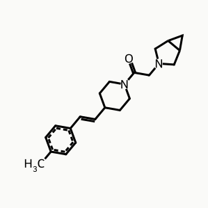 Cc1ccc(/C=C/C2CCN(C(=O)CN3CC4CC4C3)CC2)cc1